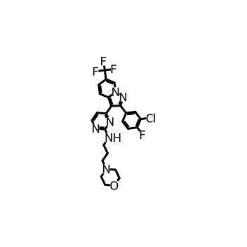 Fc1ccc(-c2nn3cc(C(F)(F)F)ccc3c2-c2ccnc(NCCCN3CCOCC3)n2)cc1Cl